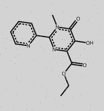 CCOC(=O)c1nc(-c2ccccn2)n(C)c(=O)c1O